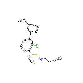 CC/C=C(\SN=CCC=O)c1cccc(-c2cccc(CCC)c2)c1Cl